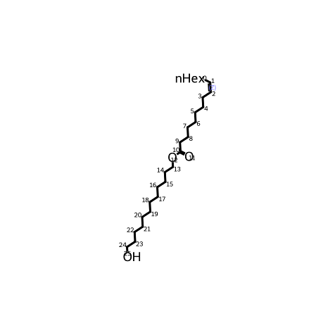 CCCCCC/C=C\CCCCCCCC(=O)OCCCCCCCCCCCCO